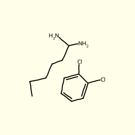 CCCCCC(N)N.Clc1ccccc1Cl